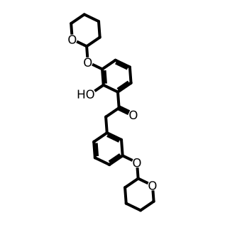 O=C(Cc1cccc(OC2CCCCO2)c1)c1cccc(OC2CCCCO2)c1O